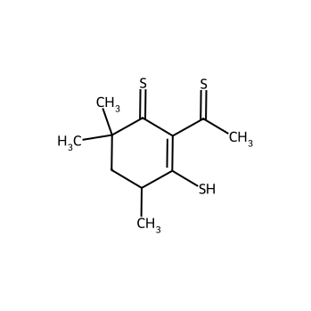 CC(=S)C1=C(S)C(C)CC(C)(C)C1=S